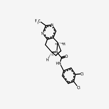 O=C(Nc1ccc(Cl)c(Cl)c1)N1[C@H]2CC[C@@H]1c1cnc(C(F)(F)F)nc1C2